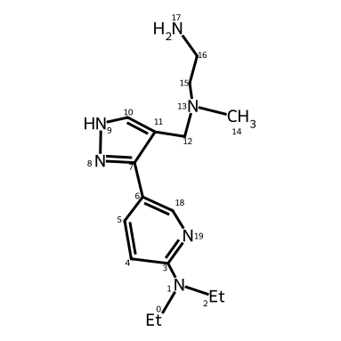 CCN(CC)c1ccc(-c2n[nH]cc2CN(C)CCN)cn1